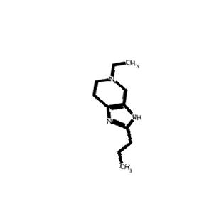 CCCc1nc2c([nH]1)CN(CC)CC2